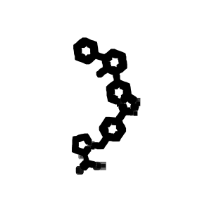 Cc1c(-c2ccccc2)cccc1-c1ccn2c(-c3ccc(CN4CCC[C@@H]4C(=O)O)cc3)nnc2c1